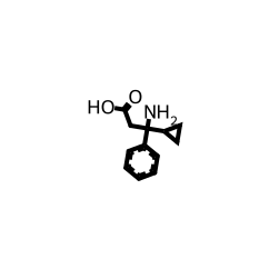 NC(CC(=O)O)(c1ccccc1)C1CC1